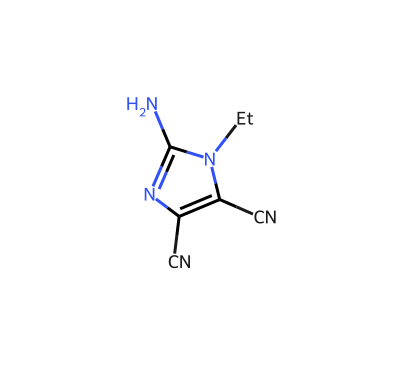 CCn1c(N)nc(C#N)c1C#N